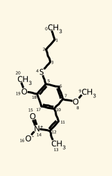 CCCCSc1cc(OC)c(C=C(C)[N+](=O)[O-])cc1OC